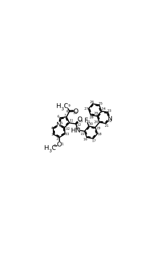 COc1ccn2cc(C(C)=O)c(C(=O)Nc3cccc(-c4cncc5ccccc45)c3F)c2c1